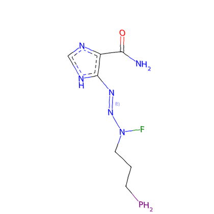 NC(=O)c1nc[nH]c1/N=N/N(F)CCCP